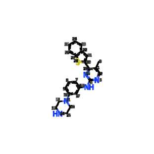 Cc1cnc(Nc2cccc(N3CCNCC3)c2)nc1-c1cc2ccccc2s1